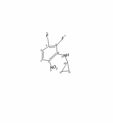 O=[N+]([O-])c1ccc(F)c(F)c1NC1CC1